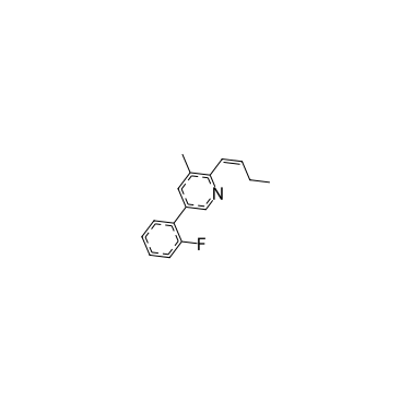 CC/C=C\c1ncc(-c2ccccc2F)cc1C